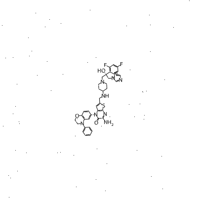 Nc1nc2sc(CNC3CCN(C[C@](O)(Cn4cncn4)c4ccc(F)cc4F)CC3)cc2n(-c2ccc3c(c2)N(c2ccccc2)CCO3)c1=O